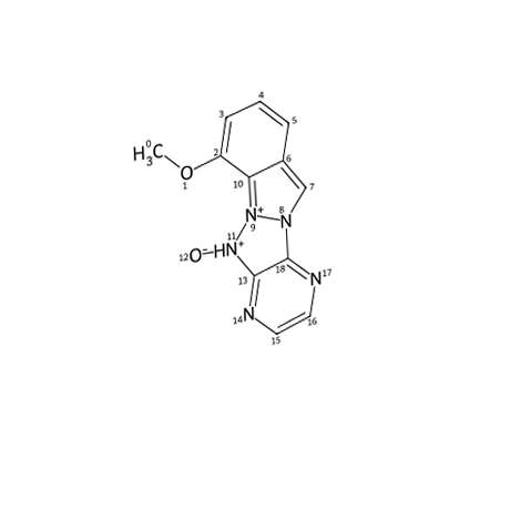 COc1cccc2cn3[n+](c12)[NH+]([O-])c1nccnc1-3